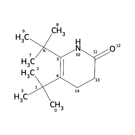 CC(C)(C)C1=C(C(C)(C)C)NC(=O)CC1